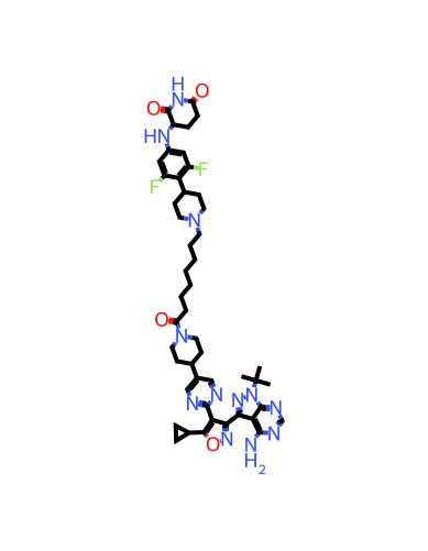 CC(C)(C)n1nc(-c2noc(C3CC3)c2-c2ncc(C3CCN(C(=O)CCCCCCCN4CCC(c5c(F)cc(NC6CCC(=O)NC6=O)cc5F)CC4)CC3)cn2)c2c(N)ncnc21